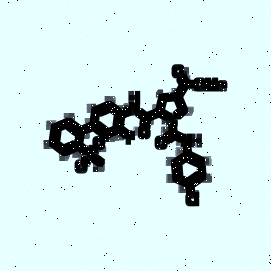 COC(=O)C1CC(C(=O)Nc2ccc(-c3ccccc3S(C)(=O)=O)cc2F)N(C(=O)Nc2ccc(Cl)cc2)C1